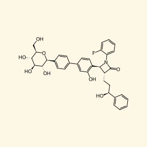 O=C1[C@H](CC[C@H](O)c2ccccc2)[C@@H](c2ccc(-c3ccc([C@@H]4O[C@H](CO)[C@@H](O)[C@H](O)[C@H]4O)cc3)cc2O)N1c1ccccc1F